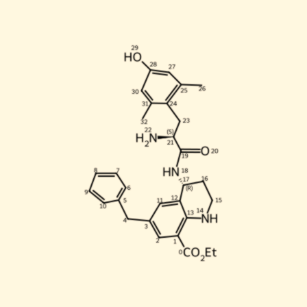 CCOC(=O)c1cc(Cc2ccccc2)cc2c1NCC[C@H]2NC(=O)[C@@H](N)Cc1c(C)cc(O)cc1C